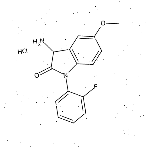 COc1ccc2c(c1)C(N)C(=O)N2c1ccccc1F.Cl